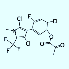 CC(=O)C(=O)Oc1cc(-c2c(Cl)c(C(F)(F)F)n(C)c2Cl)c(F)cc1Cl